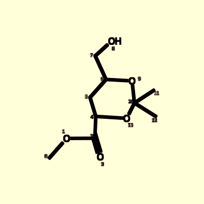 COC(=O)C1CC(CO)OC(C)(C)O1